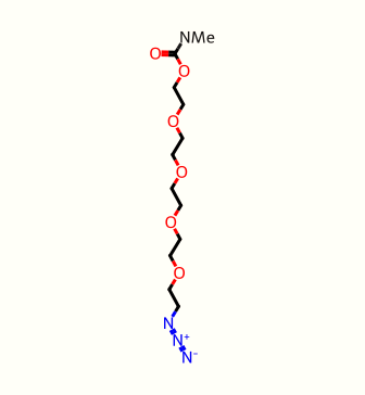 CNC(=O)OCCOCCOCCOCCOCCN=[N+]=[N-]